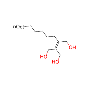 CCCCCCCCCCCCCC(CO)=C(CO)CO